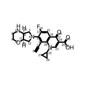 C#Cc1c(N2C[C@@H]3NCCO[C@@H]3C2)c(F)cc2c(=O)c(C(=O)O)cn(C3CC3)c12